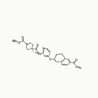 COC(=O)c1ccc2c(c1)CCC(Oc1ccnc(NC(=O)C3(C)CCN(C(=O)OC(C)(C)C)CC3)c1)C2